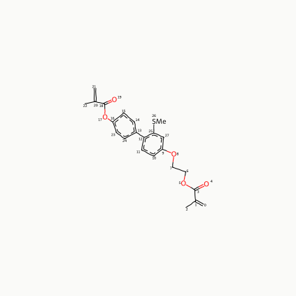 C=C(C)C(=O)OCCOc1ccc(-c2ccc(OC(=O)C(=C)C)cc2)c(SC)c1